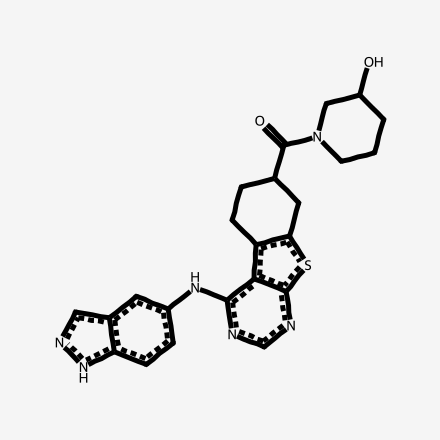 O=C(C1CCc2c(sc3ncnc(Nc4ccc5[nH]ncc5c4)c23)C1)N1CCCC(O)C1